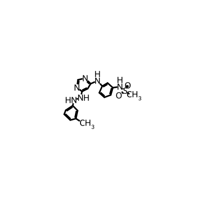 Cc1cccc(NNc2cc(Nc3cccc(NS(C)(=O)=O)c3)ncn2)c1